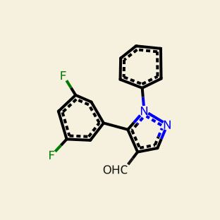 O=Cc1cnn(-c2ccccc2)c1-c1cc(F)cc(F)c1